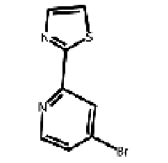 Brc1ccnc(-c2nccs2)c1